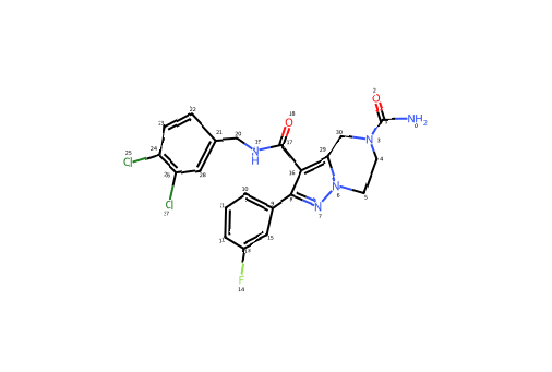 NC(=O)N1CCn2nc(-c3cccc(F)c3)c(C(=O)NCc3ccc(Cl)c(Cl)c3)c2C1